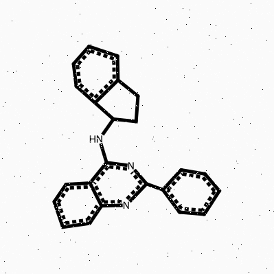 c1ccc(-c2nc(NC3CCc4ccccc43)c3ccccc3n2)cc1